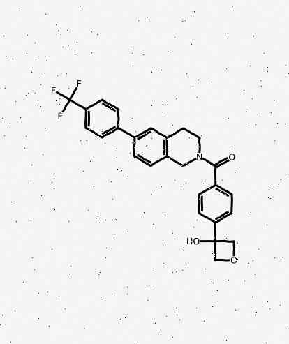 O=C(c1ccc(C2(O)COC2)cc1)N1CCc2cc(-c3ccc(C(F)(F)F)cc3)ccc2C1